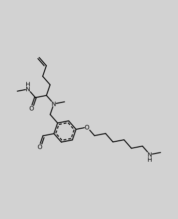 C=CCCC(C(=O)NC)N(C)Cc1cc(OCCCCCCNC)ccc1C=O